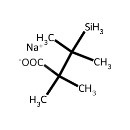 CC(C)([SiH3])C(C)(C)C(=O)[O-].[Na+]